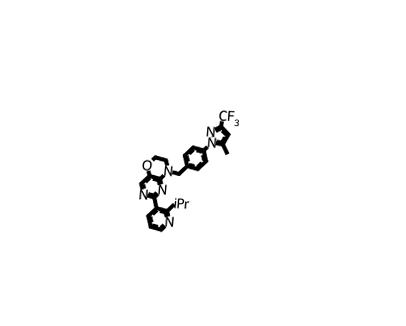 Cc1cc(C(F)(F)F)nn1-c1ccc(CN2CCOc3cnc(-c4cccnc4C(C)C)nc32)cc1